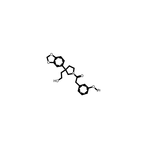 CC(C)Oc1cccc(CC(=O)N2CCC(CCO)(c3ccc4c(c3)OCO4)C2)c1